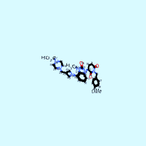 COc1ccc(CN2C(=O)CCC(n3c(=O)n(C)c4c(N5CC(CN6CCN(C(=O)O)CC6)C5)cccc43)C2=O)cc1